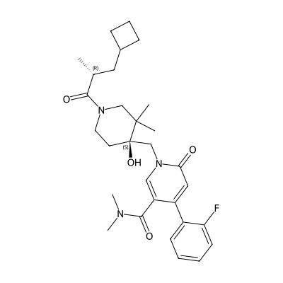 C[C@H](CC1CCC1)C(=O)N1CC[C@@](O)(Cn2cc(C(=O)N(C)C)c(-c3ccccc3F)cc2=O)C(C)(C)C1